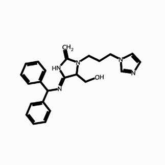 C=C1N/C(=N\C(c2ccccc2)c2ccccc2)C(CO)N1CCCn1ccnc1